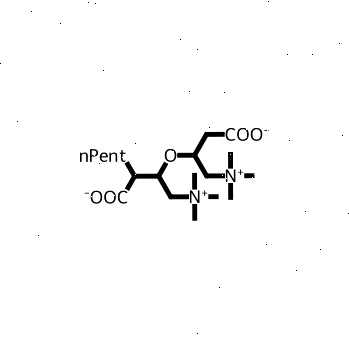 CCCCCC(C(=O)[O-])C(C[N+](C)(C)C)OC(CC(=O)[O-])C[N+](C)(C)C